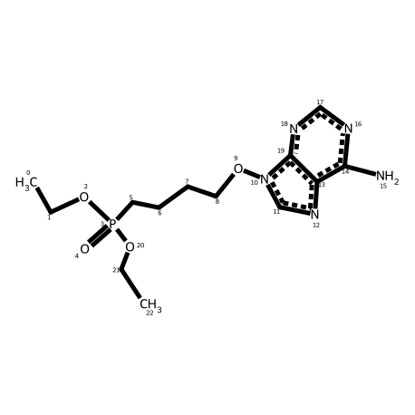 CCOP(=O)(CCCCOn1cnc2c(N)ncnc21)OCC